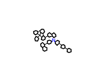 c1ccc(-c2ccc(-c3ccc(N(c4ccc(-c5cccc6ccccc56)cc4)c4cccc5ccc(-c6cccc7c6-c6ccccc6C7(c6ccccc6)c6ccccc6)cc45)cc3)cc2)cc1